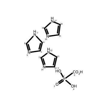 O=C(O)P(=O)(O)O.c1c[nH]cn1.c1c[nH]cn1.c1c[nH]cn1